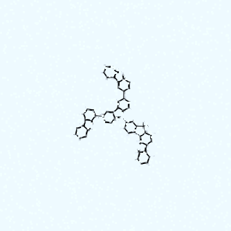 CC1(C)c2cc(-n3c4ccc(-c5ccc6sc7ccccc7c6c5)cc4c4cc(-c5cccc6c5sc5ccccc56)ccc43)ccc2-c2c1ccc1c2oc2ccccc21